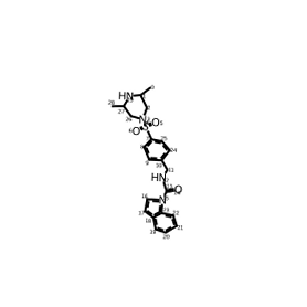 CC1CN(S(=O)(=O)c2ccc(CNC(=O)n3ccc4ccccc43)cc2)CC(C)N1